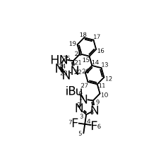 CCC(C)n1nc(C(C)(F)F)nc1Cc1ccc(-c2ccccc2-c2nnn[nH]2)cc1